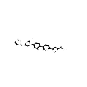 CC(C)C(O)C1CC(c2ccc(-c3ccc(N4C[C@H](Cn5ccnn5)OC4=O)cc3F)cn2)=NO1